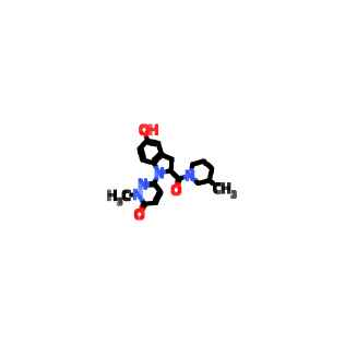 CC1CCCN(C(=O)C2Cc3cc(O)ccc3N2c2ccc(=O)n(C)n2)C1